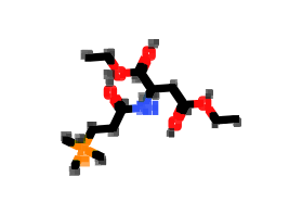 CCOC(=O)CC(NC(=O)CC[PH](C)(C)C)C(=O)OCC